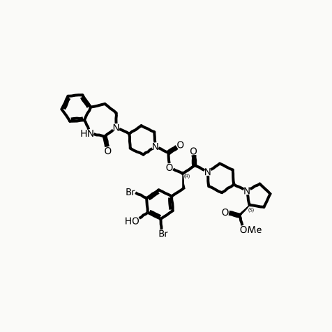 COC(=O)[C@@H]1CCCN1C1CCN(C(=O)[C@@H](Cc2cc(Br)c(O)c(Br)c2)OC(=O)N2CCC(N3CCc4ccccc4NC3=O)CC2)CC1